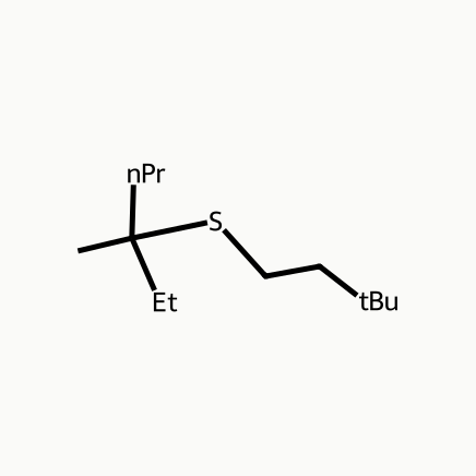 CCCC(C)(CC)SCCC(C)(C)C